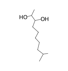 CC(C)CCCCCC(O)C(C)O